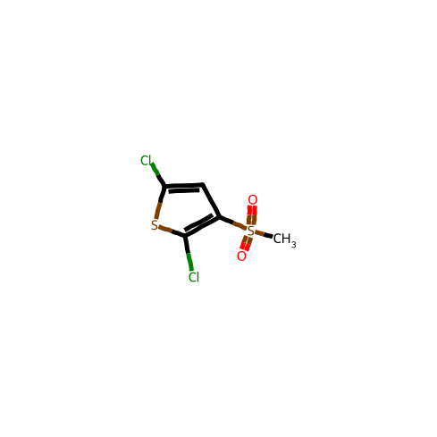 CS(=O)(=O)c1cc(Cl)sc1Cl